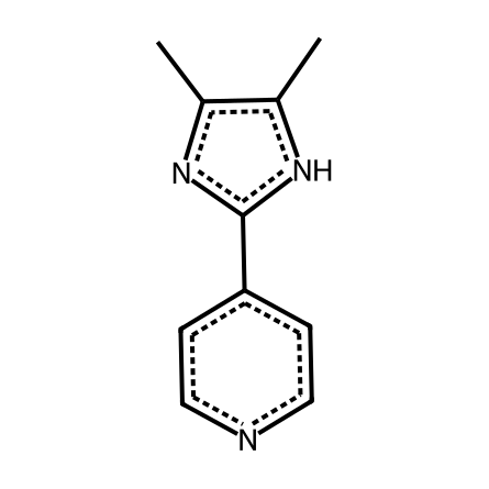 Cc1nc(-c2ccncc2)[nH]c1C